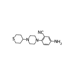 N#Cc1cc(N)ccc1N1CCN(C2CCSCC2)CC1